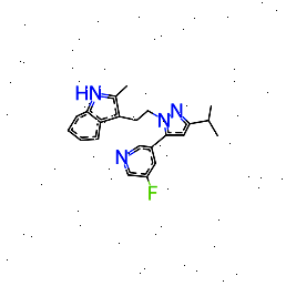 Cc1[nH]c2ccccc2c1CCn1nc(C(C)C)cc1-c1cncc(F)c1